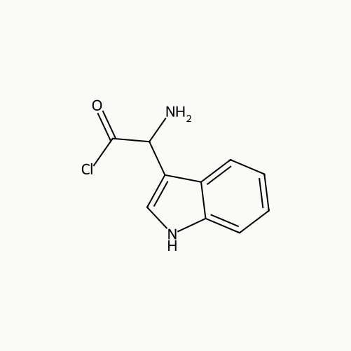 NC(C(=O)Cl)c1c[nH]c2ccccc12